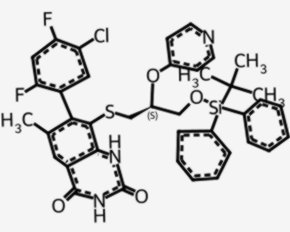 Cc1cc2c(=O)[nH]c(=O)[nH]c2c(SC[C@H](CO[Si](c2ccccc2)(c2ccccc2)C(C)(C)C)Oc2ccncc2)c1-c1cc(Cl)c(F)cc1F